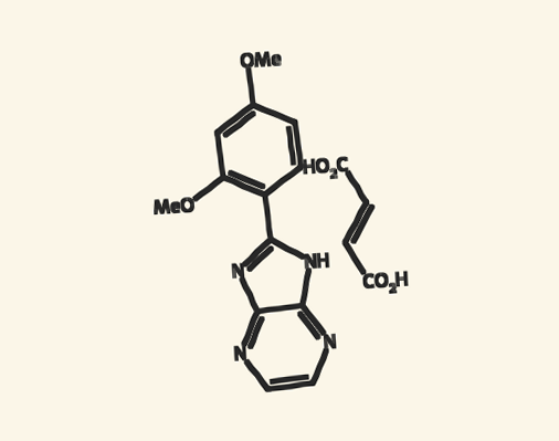 COc1ccc(-c2nc3nccnc3[nH]2)c(OC)c1.O=C(O)C=CC(=O)O